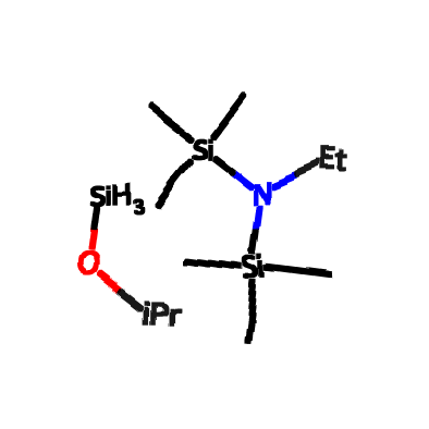 CC(C)O[SiH3].CCN([Si](C)(C)C)[Si](C)(C)C